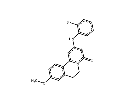 COc1ccc2c(c1)CCn1c-2cc(Nc2ccccc2Br)nc1=O